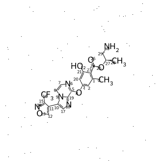 Cc1cc(Oc2nccn3c(-c4conc4C(F)(F)F)cnc23)cc(O)c1C(=O)O[C@H](C)CN